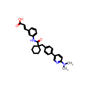 CN(C)c1ccc(-c2ccc(CC3(C(=O)Nc4cccc(/C=C/C(=O)O)c4)CCCCC3)cc2)cn1